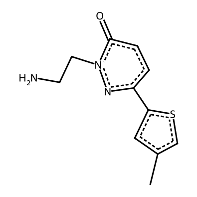 Cc1csc(-c2ccc(=O)n(CCN)n2)c1